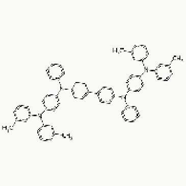 Cc1cccc(N(c2ccc(N(C3=CC=C(c4ccc(N(c5ccccc5)c5ccc(N(c6cccc(C)c6)c6cccc(C)c6)cc5)cc4)CC3)c3ccccc3)cc2)c2cccc(C)c2)c1